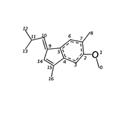 COc1cc2c(cc1C)C(=CC(C)C)C=C2C